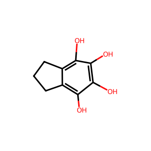 Oc1c(O)c(O)c2c(c1O)CCC2